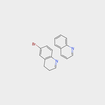 Brc1ccc2c(c1)CCC=N2.c1ccc2ncccc2c1